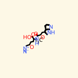 COC(Cc1c[nH]c2ncccc12)C(=O)NC(CCC(=O)C=[N+]=[N-])C(=O)O